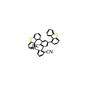 N#Cc1cccc(C#N)c1-c1cc(-c2cccc3sc4ccccc4c23)cc(-c2cccc3sc4ccccc4c23)c1C#N